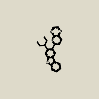 CCC(CC)c1cc2oc3ccccc3c2cc1-c1ccc2nccnc2n1